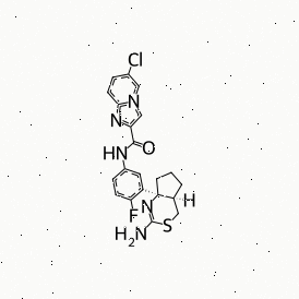 NC1=N[C@@]2(c3cc(NC(=O)c4cn5cc(Cl)ccc5n4)ccc3F)CCC[C@H]2CS1